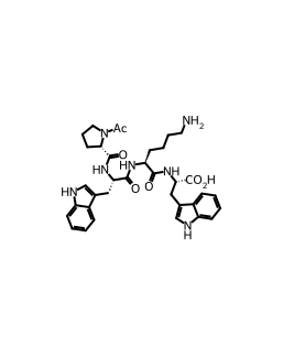 CC(=O)N1CCC[C@H]1C(=O)N[C@@H](Cc1c[nH]c2ccccc12)C(=O)N[C@@H](CCCCN)C(=O)N[C@@H](Cc1c[nH]c2ccccc12)C(=O)O